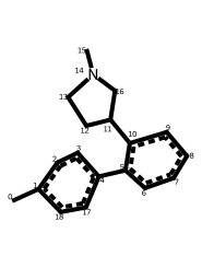 Cc1ccc(-c2ccccc2C2CCN(C)C2)cc1